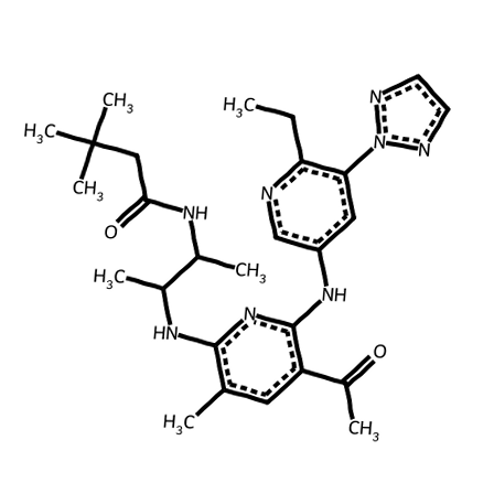 CCc1ncc(Nc2nc(NC(C)C(C)NC(=O)CC(C)(C)C)c(C)cc2C(C)=O)cc1-n1nccn1